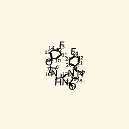 O=c1[nH]c(CN2CC(Oc3ccc(F)cc3)C2)cn2c(-c3ccc(F)cc3)ncc12